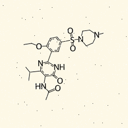 CCOc1ccc(S(=O)(=O)N2CCN(C)CC2)cc1-c1nc(C(C)C)c(NC(C)=O)c(=O)[nH]1